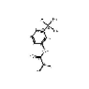 CC(C)C(=O)Nc1[c]ccc(C(F)(F)F)c1